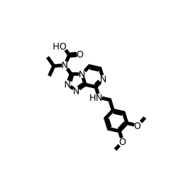 COc1ccc(CNc2nccn3c(N(C(=O)O)C(C)C)nnc23)cc1OC